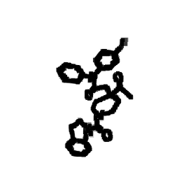 CC(=O)C1(CC(=O)N(c2ccccc2)c2ccc(F)cc2)CCN(C(=O)N2CCc3ccccc32)CC1